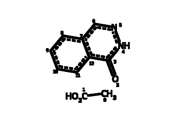 CC(=O)O.O=c1[nH]ncc2ccccc12